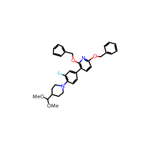 COC(OC)C1CCN(c2ccc(-c3ccc(OCc4ccccc4)nc3OCc3ccccc3)cc2F)CC1